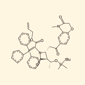 C=CCOC(=O)C(N1C(=O)[C@H]([C@@H](C)O[Si](C)(C)C(C)(C)C)[C@H]1CC(=O)c1ccc2c(c1)N(C)C(=O)CO2)=P(c1ccccc1)(c1ccccc1)c1ccccc1